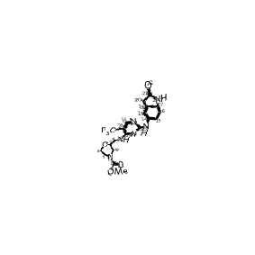 COC(=O)N1CCOC(CNc2nc(Nc3ccc4c(c3)CC(=O)N4)ncc2C(F)(F)F)C1